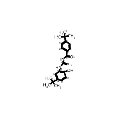 CC(C)(C)c1ccc(C(=O)NC(=S)Nc2cc(C(C)(C)C)ccc2O)cc1